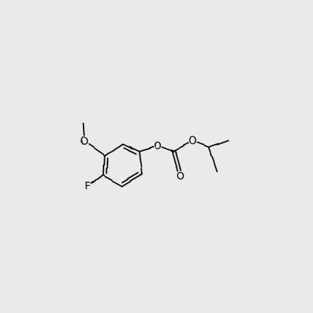 COc1cc(OC(=O)OC(C)C)ccc1F